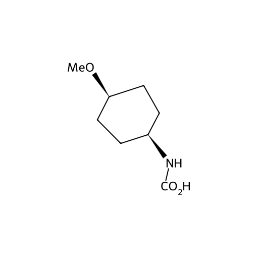 CO[C@H]1CC[C@@H](NC(=O)O)CC1